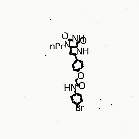 CCCn1c(=O)[nH]c(=O)c2[nH]c(-c3ccc(OCC(=O)Nc4ccc(Br)cc4)cc3)cc21